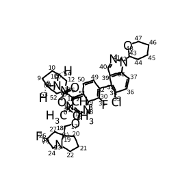 CC(C)(C)OC(=O)N1[C@@H]2CC[C@H]1CN(c1nc(OC[C@@]34CCCN3C[C@H](F)C4)nc3c(F)c(-c4c(Cl)ccc5c4cnn5C4CCCCO4)ccc13)C2